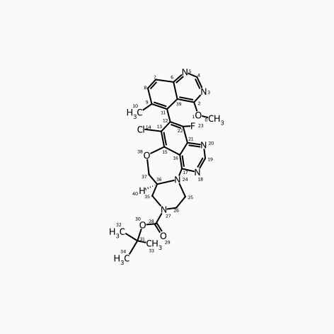 COc1ncnc2ccc(C)c(-c3c(Cl)c4c5c(ncnc5c3F)N3CCN(C(=O)OC(C)(C)C)C[C@H]3CO4)c12